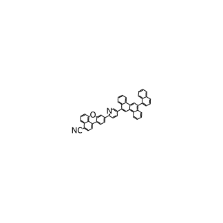 N#Cc1ccc2c3c(cccc13)Oc1cc(-c3ccc(-c4cc5c6ccccc6c(-c6cccc7ccccc67)cc5c5ccccc45)cn3)ccc1-2